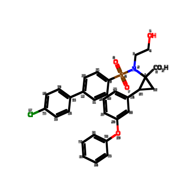 O=C(O)C1(N(CCO)S(=O)(=O)c2ccc(-c3ccc(Cl)cc3)cc2)CC1c1cccc(Oc2ccccc2)c1